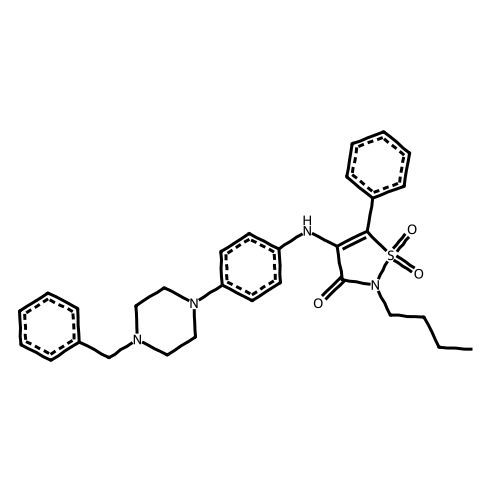 CCCCN1C(=O)C(Nc2ccc(N3CCN(Cc4ccccc4)CC3)cc2)=C(c2ccccc2)S1(=O)=O